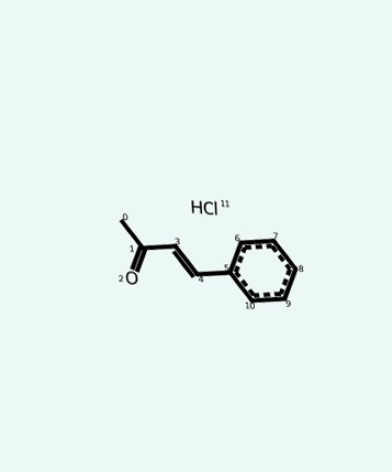 CC(=O)C=Cc1ccccc1.Cl